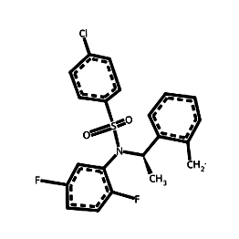 [CH2]c1ccccc1[C@@H](C)N(c1cc(F)ccc1F)S(=O)(=O)c1ccc(Cl)cc1